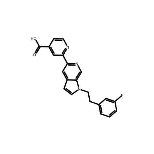 O=C(O)c1ccnc(-c2cc3ccn(CCc4cccc(F)c4)c3cn2)c1